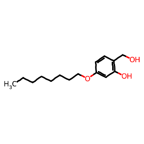 CCCCCCCCOc1ccc(CO)c(O)c1